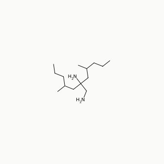 CCCC(C)CC(N)(CN)CC(C)CCC